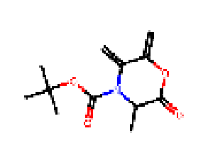 C=C1OC(=O)C(C)N(C(=O)OC(C)(C)C)C1=C